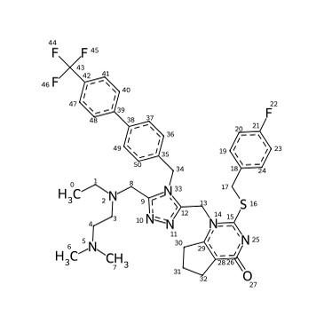 CCN(CCN(C)C)Cc1nnc(Cn2c(SCc3ccc(F)cc3)nc(=O)c3c2CCC3)n1Cc1ccc(-c2ccc(C(F)(F)F)cc2)cc1